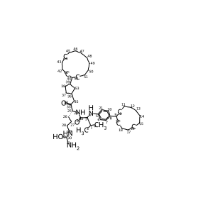 CC(C)[C@H](Nc1ccc(C2CCCCCCCCCC2)cc1)C(=O)N[C@H](CCCNC(N)O)C(=O)CC1CCC(C2CCCCCCCCCCCC2)C1